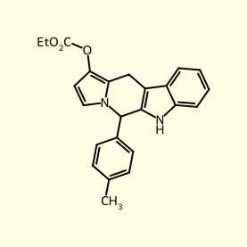 CCOC(=O)Oc1ccn2c1Cc1c([nH]c3ccccc13)C2c1ccc(C)cc1